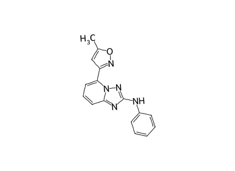 Cc1cc(-c2cccc3nc(Nc4ccccc4)nn23)no1